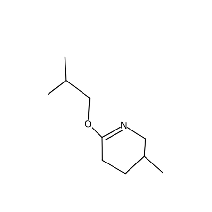 CC(C)COC1=NCC(C)CC1